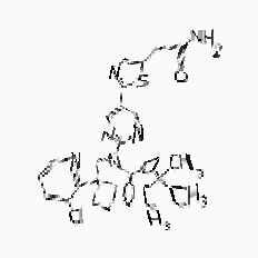 CC(C)(C)OC(=O)N(CC1(c2ncccc2Cl)CCC1)c1ncc(-c2ncc(CC(N)=O)s2)cn1